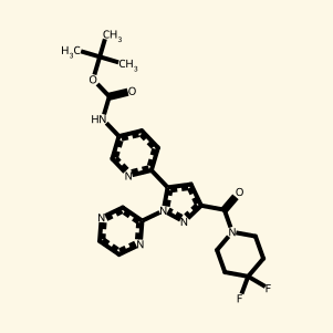 CC(C)(C)OC(=O)Nc1ccc(-c2cc(C(=O)N3CCC(F)(F)CC3)nn2-c2cnccn2)nc1